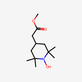 COC(=O)CC1CC(C)(C)N(O)C(C)(C)C1